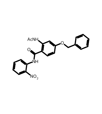 CC(=O)Nc1cc(OCc2ccccc2)ccc1C(=O)Nc1ccccc1[N+](=O)[O-]